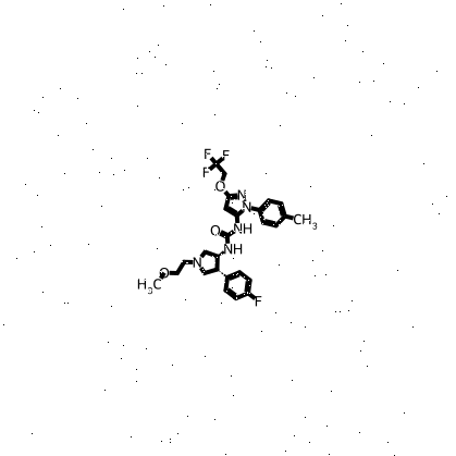 COCCN1C[C@@H](NC(=O)Nc2cc(OCC(F)(F)F)nn2-c2ccc(C)cc2)[C@H](c2ccc(F)cc2)C1